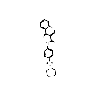 O=C(Nc1ccc(S(=O)(=O)N2CCOCC2)cc1)c1c[nH]c2ccccc2c1=O